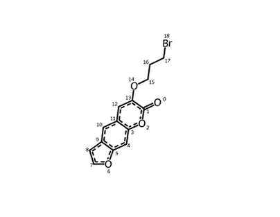 O=c1oc2cc3occc3cc2cc1OCCCBr